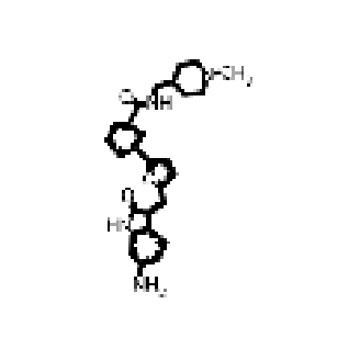 CN1CCC(CNC(=O)c2cccc(-c3ccc(C=C4C(=O)Nc5cc(N)ccc54)o3)c2)CC1